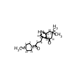 CN1CCN(C(=O)CCc2c[nH]c3c2C(=O)CC(C)(C)C3)CC1